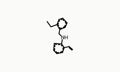 C=Cc1ccccc1NCc1ccccc1CC